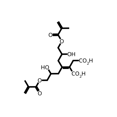 C=C(C)C(=O)OCC(O)CC(CC(O)COC(=O)C(=C)C)=C(CC(=O)O)C(=O)O